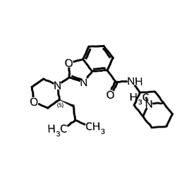 CC(C)C[C@H]1COCCN1c1nc2c(C(=O)NC3CC4CCCC(C3)N4C)cccc2o1